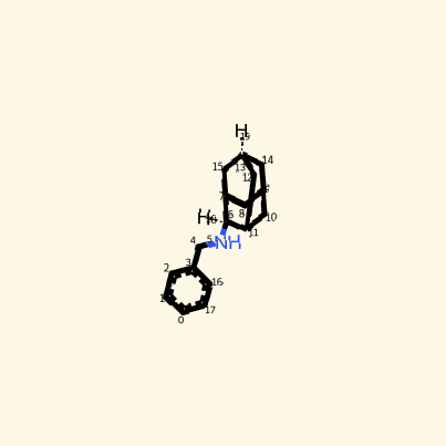 c1ccc(CN[C@H]2C3CC4CC2C[C@H](C4)C3)cc1